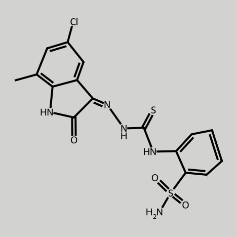 Cc1cc(Cl)cc2c1NC(=O)C2=NNC(=S)Nc1ccccc1S(N)(=O)=O